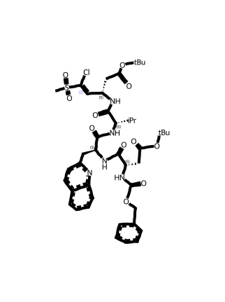 CC(C)[C@H](NC(=O)[C@H](Cc1ccc2ccccc2n1)NC(=O)[C@H](CC(=O)OC(C)(C)C)NC(=O)OCc1ccccc1)C(=O)N[C@H](/C=C(\Cl)S(C)(=O)=O)CC(=O)OC(C)(C)C